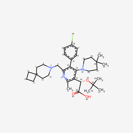 Cc1nc(CN2CCC3(CCC3)CC2)c(-c2ccc(F)cc2)c(N2CCC(C)(C)CC2)c1[C@H](OC(C)(C)C)C(=O)O